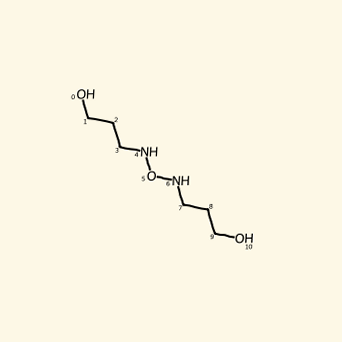 OCCCNONCCCO